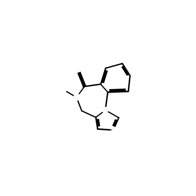 CN1Cc2cncn2-c2ccccc2C1=O